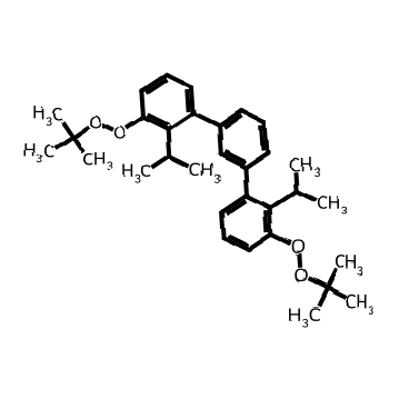 CC(C)c1c(OOC(C)(C)C)cccc1-c1cccc(-c2cccc(OOC(C)(C)C)c2C(C)C)c1